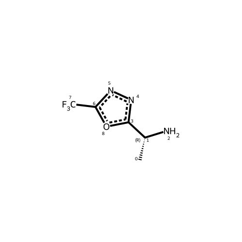 C[C@@H](N)c1nnc(C(F)(F)F)o1